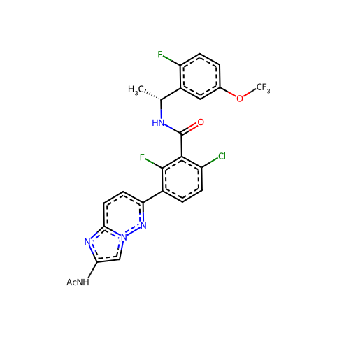 CC(=O)Nc1cn2nc(-c3ccc(Cl)c(C(=O)N[C@H](C)c4cc(OC(F)(F)F)ccc4F)c3F)ccc2n1